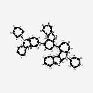 c1ccc(-n2c3ccccc3c3cc(-c4ccc(-c5cccc6c5c5c7ccccc7oc5n6-c5ccccc5)c5oc6ccccc6c45)ccc32)cc1